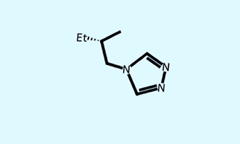 CC[C@H](C)Cn1cnnc1